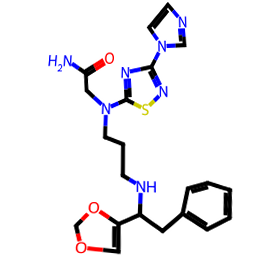 NC(=O)CN(CCCNC(Cc1ccccc1)C1=COCO1)c1nc(-n2ccnc2)ns1